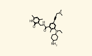 CCN(c1cc(C#CCN(C)C)cc(C(=O)NCc2c(C)cc(C)[nH]c2=O)c1C)C1CCC(N)CC1